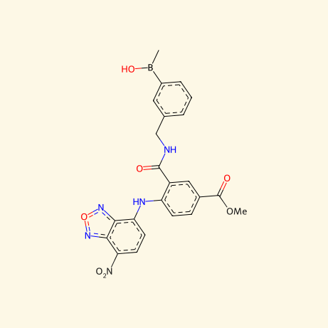 COC(=O)c1ccc(Nc2ccc([N+](=O)[O-])c3nonc23)c(C(=O)NCc2cccc(B(C)O)c2)c1